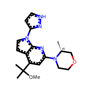 COC(C)(C)c1cc(N2CCOC[C@H]2C)nc2c1ccn2-c1cc[nH]n1